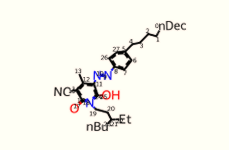 CCCCCCCCCCCCCCc1ccc(/N=N/c2c(C)c(C#N)c(=O)n(CCC(CC)CCCC)c2O)cc1